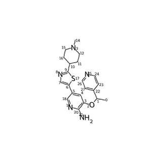 CC(Oc1cc(-c2cnc(C3CCN(C)CC3)s2)cnc1N)c1ccncc1